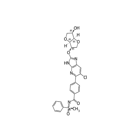 C[S@](=O)(=NC(=O)c1ccc(-c2nc3[nH]c(O[C@@H]4CO[C@H]5[C@@H]4OC[C@H]5O)nc3cc2Cl)cc1)c1ccccc1